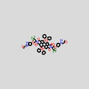 O=C(Oc1ccc(NCC2CO2)cc1)C(CC(F)(F)F)N1C(=O)c2cc(Oc3ccccc3)c3c4c(Oc5ccccc5)cc5c6c(cc(Oc7ccccc7)c(c7c(Oc8ccccc8)cc(c2c37)C1=O)c64)C(=O)N(C(CC(F)(F)F)C(=O)Oc1ccc(NCC2CO2)cc1)C5=O